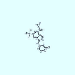 FC(F)(F)c1nc(NC2CC2)c2ncn(Cc3cccc(Cl)c3)c2n1